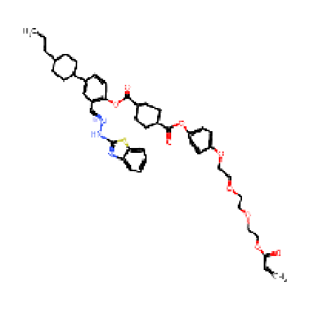 C=CC(=O)OCCOCCOCCOc1ccc(OC(=O)C2CCC(C(=O)Oc3ccc(C4CCC(CCC)CC4)cc3/C=N/Nc3nc4ccccc4s3)CC2)cc1